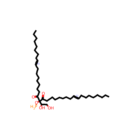 CCCCCCCC/C=C/CCCCCCCC(=O)C(OP)(C(=O)CCCCCCC/C=C/CCCCCCCC)C(O)CO